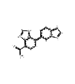 NC(=O)c1ccc(=c2ccc3c(c2)N=CN=3)c2c1N=CN=2